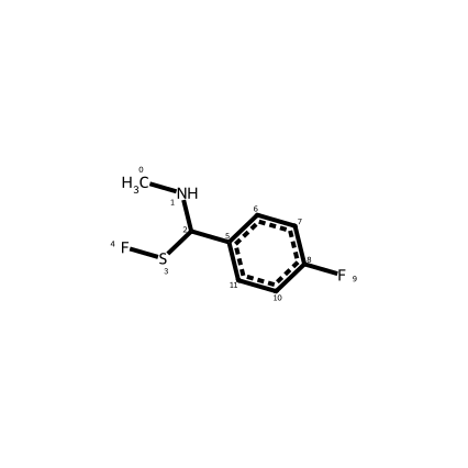 CNC(SF)c1ccc(F)cc1